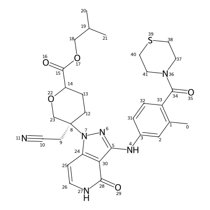 Cc1cc(Nc2nn([C@]3(CC#N)CCC(C(=O)OCC(C)C)OC3)c3cc[nH]c(=O)c23)ccc1C(=O)N1CCSCC1